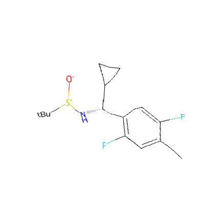 Cc1cc(F)c([C@H](N[S+]([O-])C(C)(C)C)C2CC2)cc1F